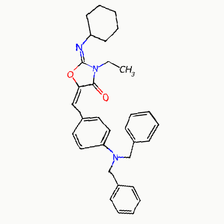 CCN1C(=O)/C(=C\c2ccc(N(Cc3ccccc3)Cc3ccccc3)cc2)O/C1=N/C1CCCCC1